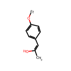 CCOc1ccc(C=C(C)O)cc1